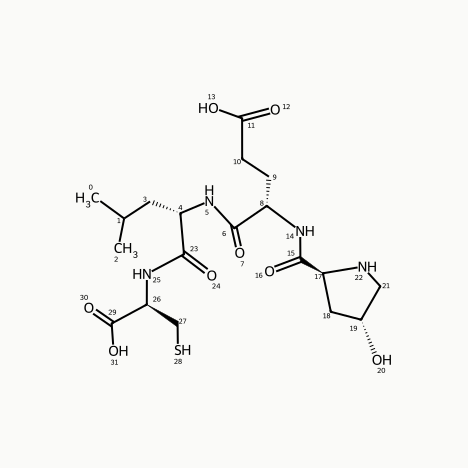 CC(C)C[C@H](NC(=O)[C@H](CCC(=O)O)NC(=O)[C@@H]1C[C@@H](O)CN1)C(=O)N[C@@H](CS)C(=O)O